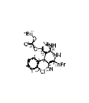 CCCC1=C(C#N)C(c2ccccc2Cl)c2c(OC(=O)OC(C)(C)C)n[nH]c2N1